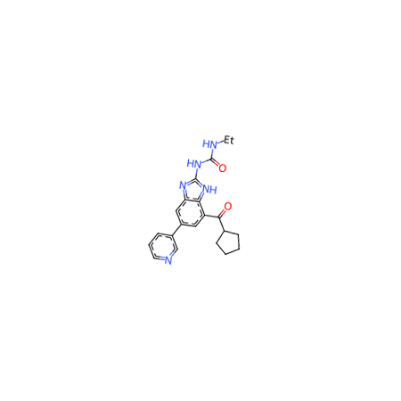 CCNC(=O)Nc1nc2cc(-c3cccnc3)cc(C(=O)C3CCCC3)c2[nH]1